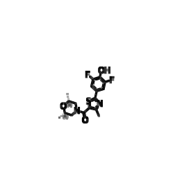 Cc1nc(-c2cc(F)c(O)c(F)c2)sc1C(=O)N1C[C@@H](C)O[C@@H](C)C1